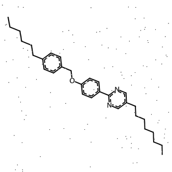 CCCCCCCCc1cnc(-c2ccc(OCc3ccc(CCCCCC)cc3)cc2)nc1